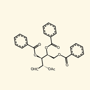 CC(=O)O[C@H](C=O)[C@@H](OC(=O)c1ccccc1)[C@H](COC(=O)c1ccccc1)OC(=O)c1ccccc1